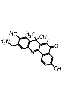 Cc1ccc2c(c1)C(=O)C=C1C2=Nc2cc(CN)c(O)cc2C1(C)C